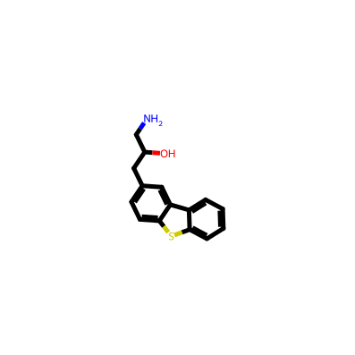 NCC(O)Cc1ccc2sc3ccccc3c2c1